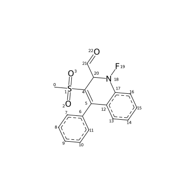 CS(=O)(=O)C1=C(c2ccccc2)c2ccccc2N(F)C1C=O